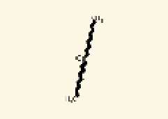 CCCCCCCCC[CH2][Ge][CH2]CCCCCCCCC